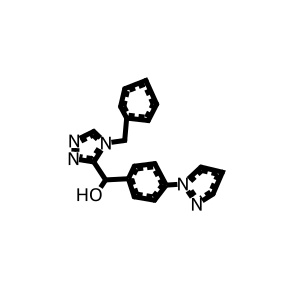 OC(c1ccc(-n2cccn2)cc1)c1nncn1Cc1ccccc1